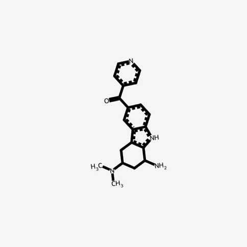 CN(C)C1Cc2c([nH]c3ccc(C(=O)c4ccncc4)cc23)C(N)C1